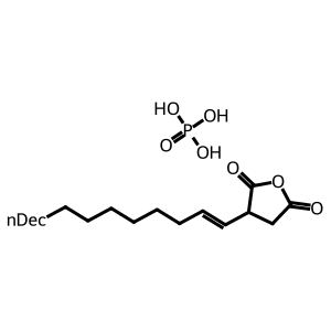 CCCCCCCCCCCCCCCCC=CC1CC(=O)OC1=O.O=P(O)(O)O